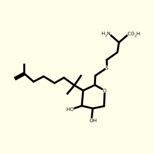 C=C(C)CCCCC(C)(C)C1C(CSCCC(N)C(=O)O)OCC(O)C1O